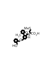 CSCC[C@H](NC(=O)c1ccc(COCc2ccccc2CO)cc1-c1ccccc1C)C(=O)O